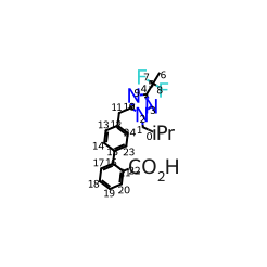 CC(C)Cn1nc(C(C)(F)F)nc1Cc1ccc(-c2ccccc2C(=O)O)cc1